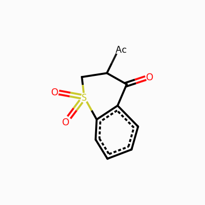 CC(=O)C1CS(=O)(=O)c2ccccc2C1=O